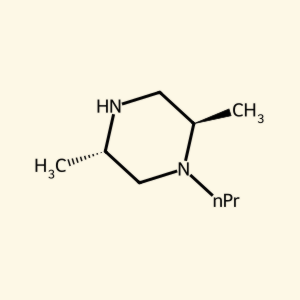 CCCN1C[C@H](C)NC[C@H]1C